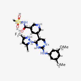 COc1cc(Nc2ncc(-c3cncc(C(=O)NS(C)(=O)=O)c3)c(-n3nc(C(F)(F)F)cc3C)n2)cc(OC)c1